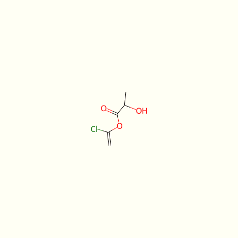 C=C(Cl)OC(=O)C(C)O